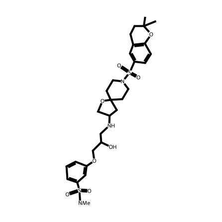 CNS(=O)(=O)c1cccc(OCC(O)CNC2COC3(CCN(S(=O)(=O)c4ccc5c(c4)CCC(C)(C)O5)CC3)C2)c1